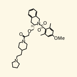 COc1cc(C)c(S(=O)(=O)N2Cc3ccccc3C[C@H]2COCC(=O)N2CCC(CCN3CCCC3)CC2)c(C)c1